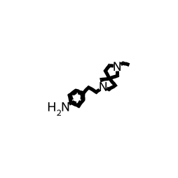 CCN1CCC2(CCN(CCc3ccc(N)cc3)C2)C1